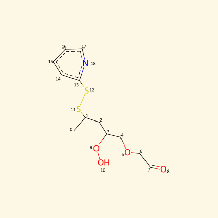 CC(CC(COCC=O)OO)SSc1ccccn1